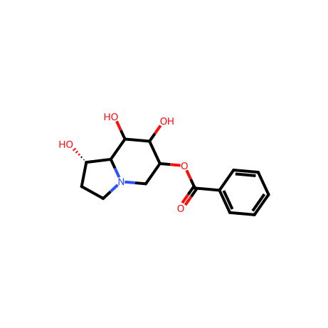 O=C(OC1CN2CC[C@H](O)C2C(O)C1O)c1ccccc1